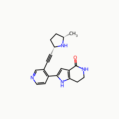 C[C@H]1CC[C@@H](C#Cc2cnccc2-c2cc3c([nH]2)CCNC3=O)N1